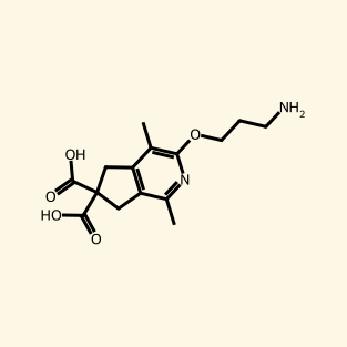 Cc1nc(OCCCN)c(C)c2c1CC(C(=O)O)(C(=O)O)C2